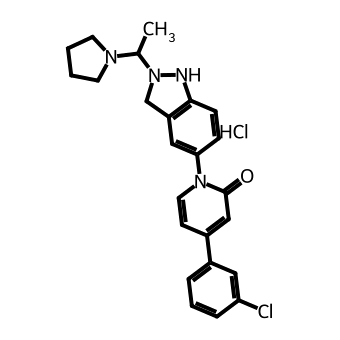 CC(N1CCCC1)N1Cc2cc(-n3ccc(-c4cccc(Cl)c4)cc3=O)ccc2N1.Cl